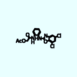 CC(=O)OCC(=O)Nc1ccccc1Nc1nc2cc(Cl)cc(Cl)c2o1